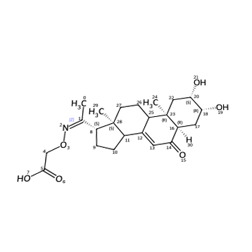 C/C(=N/OCC(=O)O)[C@H]1CCC2C3=CC(=O)[C@@H]4C[C@@H](O)[C@@H](O)C[C@]4(C)C3CC[C@@]21C